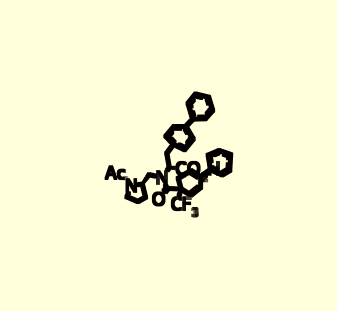 CC(=O)N1CCC[C@@H]1CN(C(=O)C1(C(F)(F)F)C=CC(c2ccccc2)=CC1)[C@@H](Cc1ccc(-c2ccccc2)cc1)C(=O)O